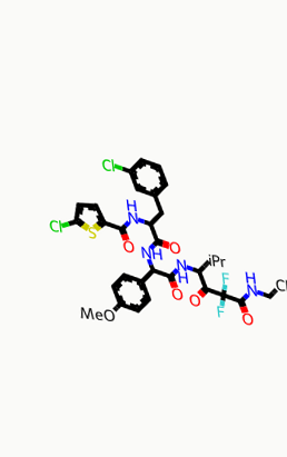 COc1ccc(C(NC(=O)C(Cc2cccc(Cl)c2)NC(=O)c2ccc(Cl)s2)C(=O)NC(C(=O)C(F)(F)C(=O)NCC(F)(F)F)C(C)C)cc1